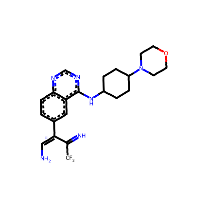 N=C(/C(=C\N)c1ccc2ncnc(NC3CCC(N4CCOCC4)CC3)c2c1)C(F)(F)F